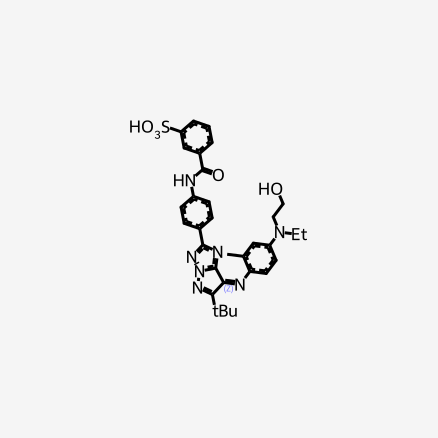 CCN(CCO)c1ccc(/N=C2/C(C(C)(C)C)=Nn3nc(-c4ccc(NC(=O)c5cccc(S(=O)(=O)O)c5)cc4)nc32)c(C)c1